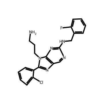 NCCCn1c(-c2ccccc2Cl)nc2cnc(NCc3ccccc3F)nc21